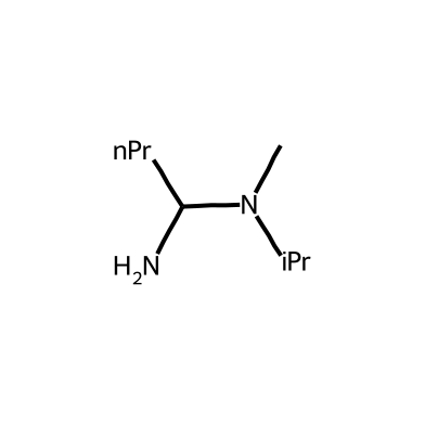 CCCC(N)N(C)C(C)C